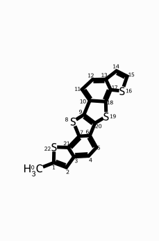 Cc1cc2ccc3c(sc4c5ccc6ccsc6c5sc34)c2s1